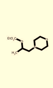 CCOC(=O)OC(C)CN1CCOCC1